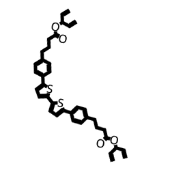 C=CC(C=C)OC(=O)CCCc1ccc(-c2ccc(-c3ccc(-c4ccc(CCCC(=O)OC(C=C)C=C)cc4)s3)s2)cc1